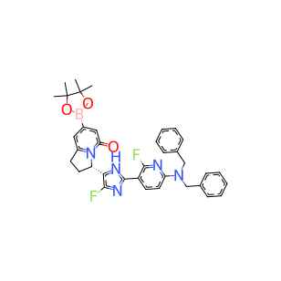 CC1(C)OB(c2cc3n(c(=O)c2)[C@H](c2[nH]c(-c4ccc(N(Cc5ccccc5)Cc5ccccc5)nc4F)nc2F)CC3)OC1(C)C